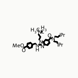 COC(=O)c1ccc(CNc2nc3ccc(C(=O)N(CCC(C)C)CCC(C)C)cc3n2CCCN(C)C)cc1